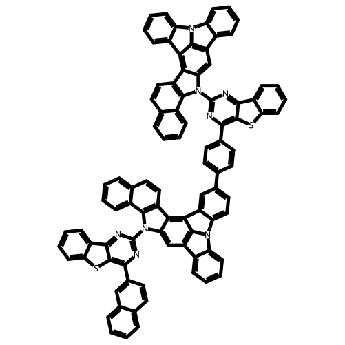 c1ccc2cc(-c3nc(-n4c5cc6c7ccccc7n7c8ccc(-c9ccc(-c%10nc(-n%11c%12cc%13c%14ccccc%14n%14c%15ccccc%15c(c%12c%12ccc%15ccccc%15c%12%11)c%13%14)nc%11c%10sc%10ccccc%10%11)cc9)cc8c(c5c5ccc8ccccc8c54)c67)nc4c3sc3ccccc34)ccc2c1